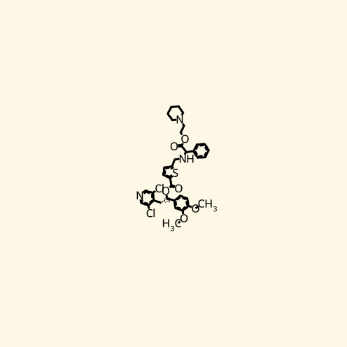 COc1ccc([C@H](Cc2c(Cl)cncc2Cl)OC(=O)c2ccc(CNC(C(=O)OCCN3CCCCC3)c3ccccc3)s2)cc1OC